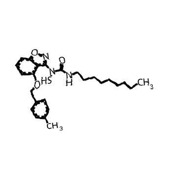 CCCCCCCCCNC(=O)N(S)c1noc2cccc(OCc3ccc(C)cc3)c12